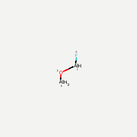 [F][AlH][O][AlH2]